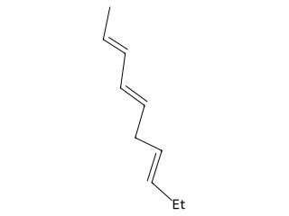 CC=CC=CCC=CCC